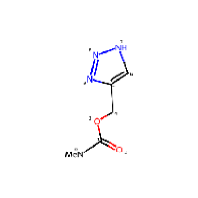 CNC(=O)OCc1c[nH]nn1